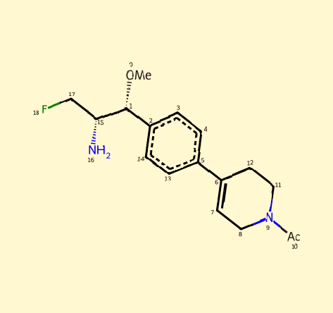 CO[C@H](c1ccc(C2=CCN(C(C)=O)CC2)cc1)[C@H](N)CF